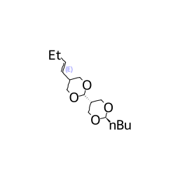 CC/C=C/C1COC([C@H]2CO[C@H](CCCC)OC2)OC1